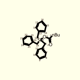 [CH2]CCCC(=O)O[Si](Cc1ccccc1)(Cc1ccccc1)Cc1ccccc1